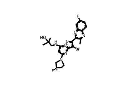 Cc1nc2ccc(F)cc2nc1-c1nn2c(NCC(C)(C)O)cc(N3CC[C@@H](F)C3)nc2c1Br